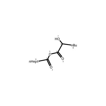 CCCCCCCC(=O)OC(=O)C(O)CCCC